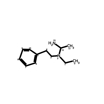 CCN(CCc1ccccc1)[C](C)N